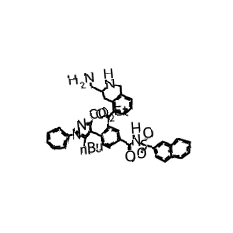 CCCCc1c(-c2ccc(C(=O)NS(=O)(=O)c3ccc4ccccc4c3)cc2C(=O)c2cccc3c2CC(CN)NC3)c(C(=O)OCC)nn1-c1ccccc1